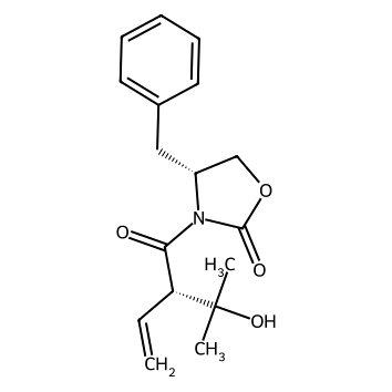 C=C[C@H](C(=O)N1C(=O)OC[C@H]1Cc1ccccc1)C(C)(C)O